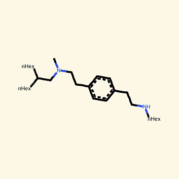 CCCCCCNCCc1ccc(CCN(C)CC(CCCCCC)CCCCCC)cc1